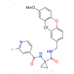 COc1ccc(Oc2ccc(CNC(=O)C3(NC(=O)c4ccnc(F)c4)CC3)cc2)c(C(F)(F)F)c1